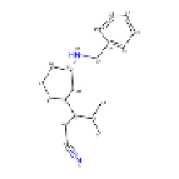 CC(C)C(CC#N)C1CCC[C@H](NCc2ccccc2)C1